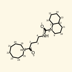 O=C(CCCNC(=O)N1CCCC2CCCCC21)N1CCCCCCC1